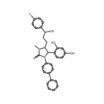 CN1C(=S)N(c2ccc(-c3ccccc3)cc2)C(c2ccc(O)cc2O)C1CCC(O)c1ccc(F)cc1